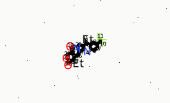 CCc1c2c(nc3ccc(C(F)F)cc13)-c1cc3c(c(=O)n1C2)COC(=O)[C@@H]3CC